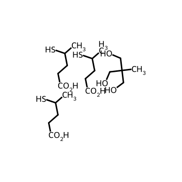 CC(CO)(CO)CO.CC(S)CCC(=O)O.CC(S)CCC(=O)O.CC(S)CCC(=O)O